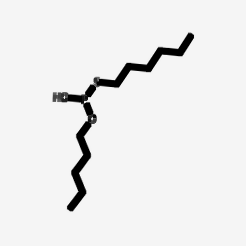 CCCCCCSP(O)OCCCCC